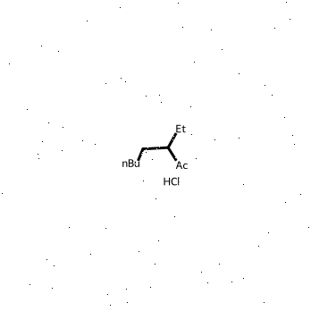 CCCCCC(CC)C(C)=O.Cl